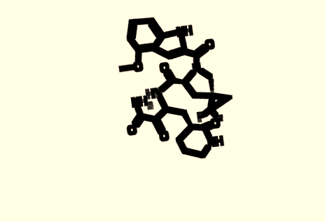 COc1cccc2[nH]c(C(=O)N3C[C@]4(C[C@H]3C(=O)NC(C[C@@H]3CCCNC3=O)C(=O)C(N)=O)CC4(F)F)cc12